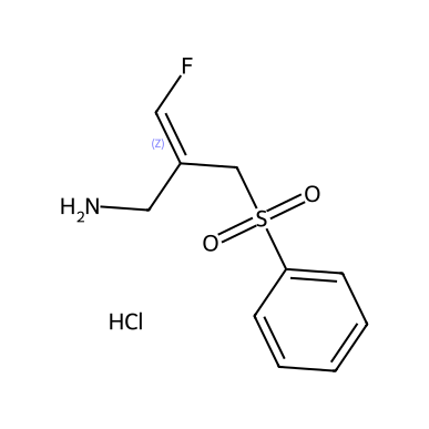 Cl.NC/C(=C/F)CS(=O)(=O)c1ccccc1